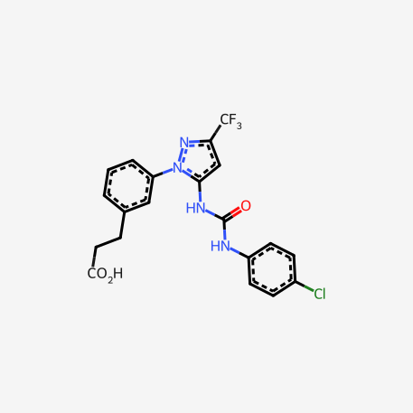 O=C(O)CCc1cccc(-n2nc(C(F)(F)F)cc2NC(=O)Nc2ccc(Cl)cc2)c1